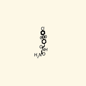 NC(=O)CNC(=O)C[C@H]1CC[C@@H](S(=O)(=O)c2ccc(Cl)cc2)CC1